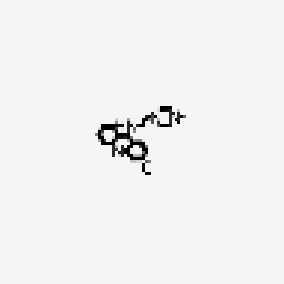 CN1CCN(CCNC2=c3ccccc3=NC3C=C(Cl)C=CC23)CC1